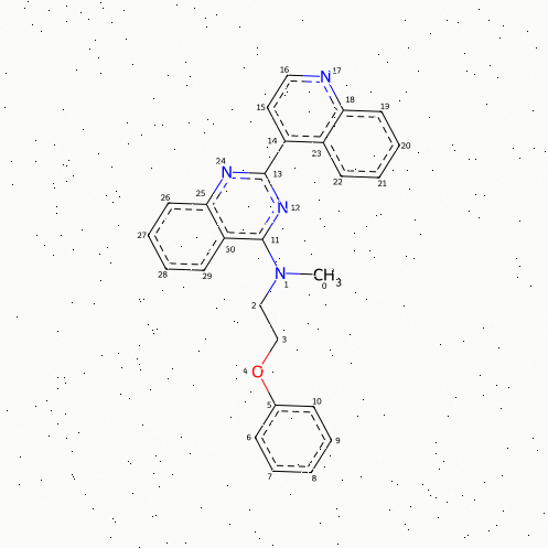 CN(CCOc1ccccc1)c1nc(-c2ccnc3ccccc23)nc2ccccc12